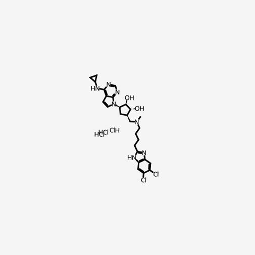 CN(CCCCc1nc2cc(Cl)c(Cl)cc2[nH]1)C[C@H]1C[C@@H](n2ccc3c(NC4CC4)ncnc32)[C@@H](O)[C@@H]1O.Cl.Cl.Cl